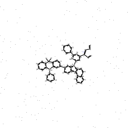 C=C/C=C(\C=C)c1cc(-n2c3cc(-c4ccc5c(c4)N(c4ccccc4)c4ccccc4C5(C)C)ccc3c3c4ccccc4ccc32)nc(-c2ccccc2)n1